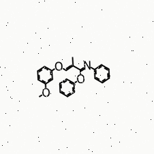 COc1cccc(O/C=C(C)/C(=N/c2ccccc2)Oc2ccccc2)c1